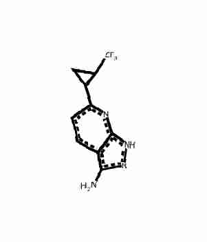 Nc1n[nH]c2nc(C3CC3C(F)(F)F)ccc12